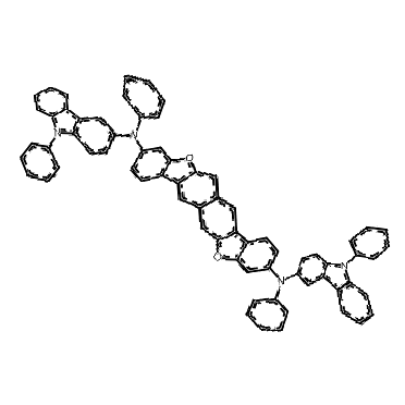 c1ccc(N(c2ccc3c(c2)oc2cc4cc5c(cc4cc23)oc2cc(N(c3ccccc3)c3ccc4c(c3)c3ccccc3n4-c3ccccc3)ccc25)c2ccc3c(c2)c2ccccc2n3-c2ccccc2)cc1